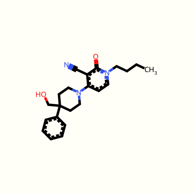 CCCCn1ccc(N2CCC(CO)(c3ccccc3)CC2)c(C#N)c1=O